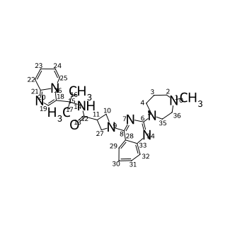 CN1CCCN(c2nc(N3CC(C(=O)NC(C)(C)c4cnc5ccccn45)C3)c3ccccc3n2)CC1